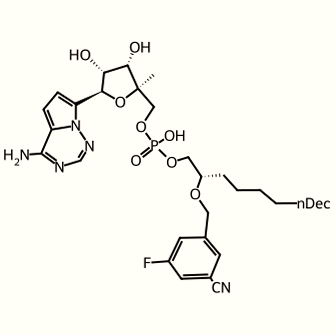 CCCCCCCCCCCCCC[C@@H](COP(=O)(O)OC[C@@]1(C)O[C@@H](c2ccc3c(N)ncnn23)[C@H](O)[C@@H]1O)OCc1cc(F)cc(C#N)c1